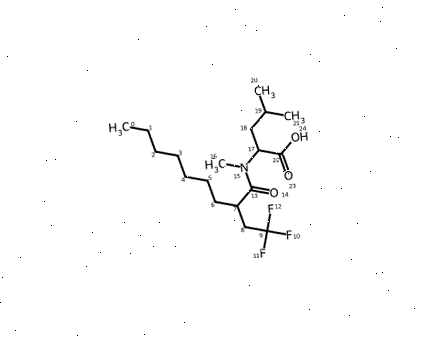 CCCCCCCC(CC(F)(F)F)C(=O)N(C)C(CC(C)C)C(=O)O